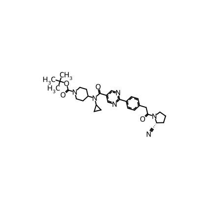 CC(C)(C)OC(=O)N1CCC(N(C(=O)c2cnc(-c3ccc(CC(=O)N4CCC[C@@H]4C#N)cc3)nc2)C2CC2)CC1